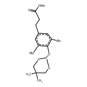 COC(=O)CCc1cc(C(C)(C)C)c(OP2OCC(C)(C)CO2)c(C(C)(C)C)c1